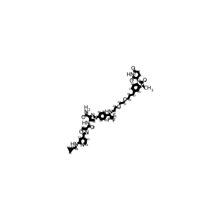 Cn1c(=O)n(C2CCC(=O)NC2=O)c2ccc(CCCOCCOCCNC(c3ccc(-n4cc(NC(=O)c5coc(-c6ccnc(NCC7CC7)c6)n5)c(C(N)=O)n4)cc3)C(F)(F)F)cc21